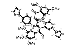 COc1cc(OC)c(C(=O)C(=CC=C(C(=O)c2cc(OC)c(OC)c(OC)c2)c2cc(-c3cccs3)ccc2OC)c2cc(-c3cccs3)ccc2OC)c(OC)c1